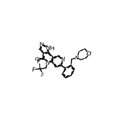 O=c1c2cn[nH]c2c2cnc(-c3ccccc3CN3CCOCC3)cc2n1CC(F)(F)F